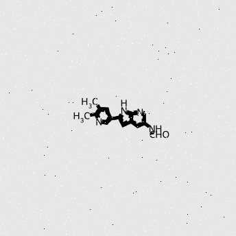 Cc1cc(-c2cc3cc(NC=O)cnc3[nH]2)cnc1C